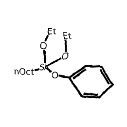 CCCCCCCC[Si](OCC)(OCC)Oc1ccccc1